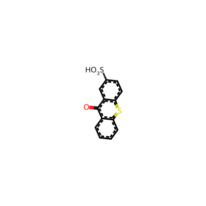 O=c1c2ccccc2sc2ccc(S(=O)(=O)O)cc12